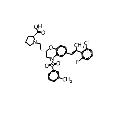 C/C(=C\c1ccc2c(c1)N(S(=O)(=O)c1cccc(C)c1)C[C@H](CCN1CCC[C@H]1C(=O)O)O2)c1c(F)cccc1Cl